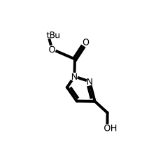 CC(C)(C)OC(=O)n1ccc(CO)n1